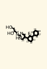 OC[C@@H](O)CNc1ncc(-c2cccc(-c3ccccc3)c2F)cn1